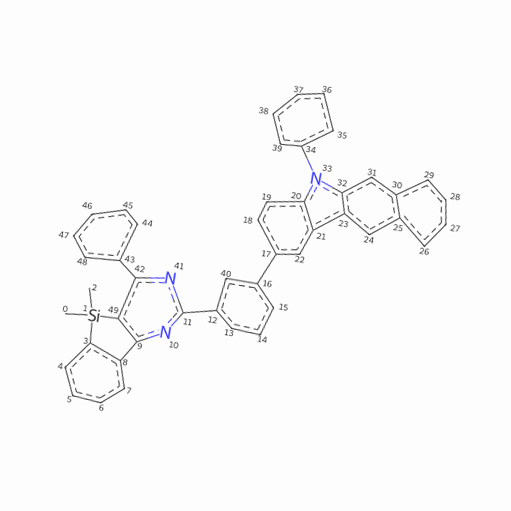 C[Si]1(C)c2ccccc2-c2nc(-c3cccc(-c4ccc5c(c4)c4cc6ccccc6cc4n5-c4ccccc4)c3)nc(-c3ccccc3)c21